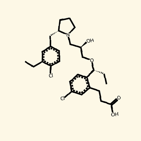 CCc1cc(C[C@@H]2CCCN2C[C@@H](O)CO[C@H](CC)c2ccc(Cl)cc2CCC(=O)O)ccc1Cl